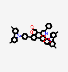 Cc1ccc2c(c1)c1cc(C)ccc1n2-c1ccc(-c2ccc(-c3ccc(-n4c5ccc(C)cc5c5cc(C)ccc54)cc3)c3c(-c4cc(-c5ccccc5)nc(-c5ccccc5)c4)cc(=O)oc23)cc1